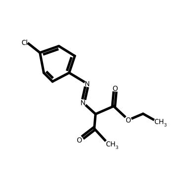 CCOC(=O)C(N=Nc1ccc(Cl)cc1)C(C)=O